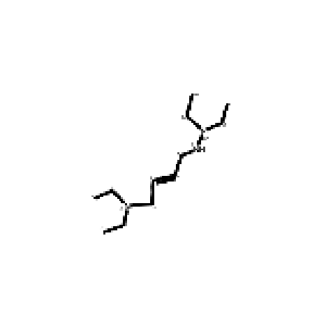 CCN(CC)C/C=C/CNN(CC)CC